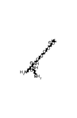 CC(C)(C)OC(=O)CCOCCOCCOCCOCCNC(=O)[C@H](CCCCN)NC(=O)CCCN